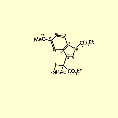 CCOC(=O)C(CNC(C)=O)c1cn(C(=O)OCC)c2ccc(OC)cc12